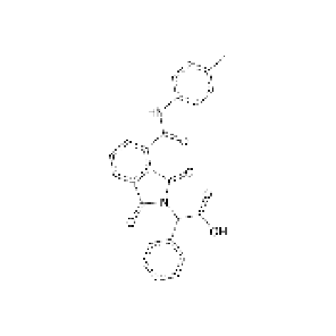 Cc1ccc(NC(=O)c2cccc3c2C(=O)N(C(C(=O)O)c2ccccc2)C3=O)cc1